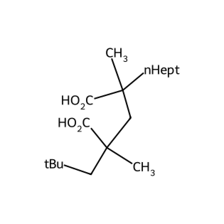 CCCCCCCC(C)(CC(C)(CC(C)(C)C)C(=O)O)C(=O)O